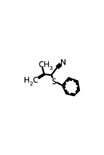 C=C(C)C(C#N)Sc1ccccc1